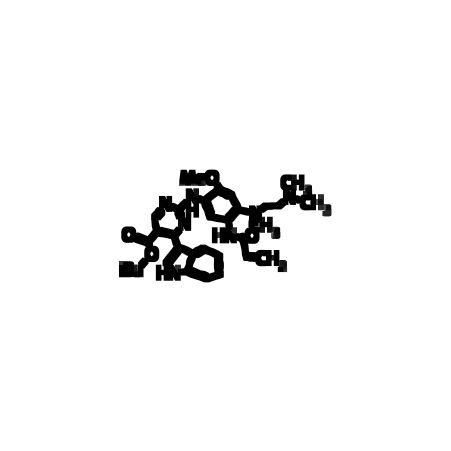 C=CC(=O)Nc1cc(Nc2ncc(C(=O)OC(C)CC)c(-c3c[nH]c4ccccc34)n2)c(OC)cc1N(C)CCN(C)C